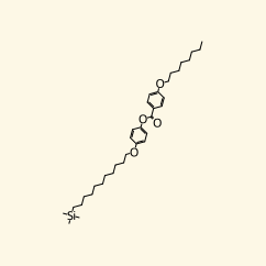 CCCCCCCCOc1ccc(C(=O)Oc2ccc(OCCCCCCCCCCC[Si](C)(C)C)cc2)cc1